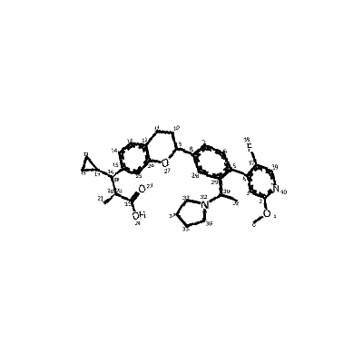 COc1cc(-c2ccc(C3CCc4ccc([C@H](C5CC5)[C@H](C)C(=O)O)cc4O3)cc2C(C)N2CCCC2)c(F)cn1